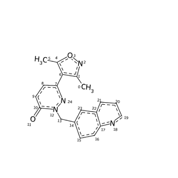 Cc1noc(C)c1-c1ccc(=O)n(Cc2ccc3ncccc3c2)n1